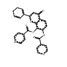 O=C(Oc1ccc2c(=O)cc(C3=CCCC=C3)oc2c1OC(=O)c1ccncc1)c1ccncc1